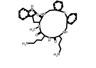 CN1C(=O)C(CCCN)NC(=O)C(CCCN)NCc2ccccc2Sc2ccccc2CNC(=O)C1Cc1c[nH]c2ccccc12